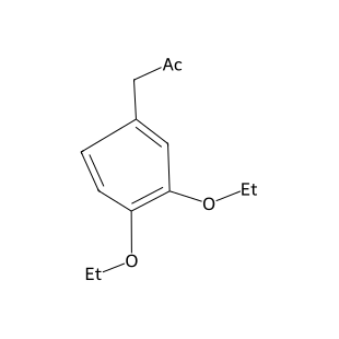 CCOc1ccc(CC(C)=O)cc1OCC